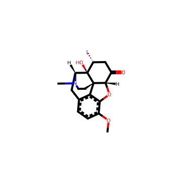 COc1ccc2c3c1O[C@H]1C(=O)C[C@@H](I)[C@@]4(O)[C@@H](C2)N(C)CC[C@]314